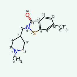 CN1CCC(Cn2sc3cc(C(F)(F)F)ccc3c2=O)CC1